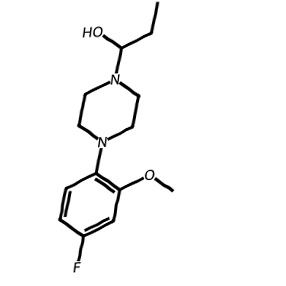 CCC(O)N1CCN(c2ccc(F)cc2OC)CC1